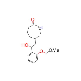 COCOc1ccccc1C(O)CC1C/C=C\C(=O)CCC1